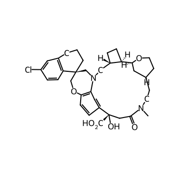 CN1CC[C@H]2CCO[C@@H](C2)[C@@H]2CC[C@H]2CN2C[C@@]3(CCCc4cc(Cl)ccc43)COc3ccc(cc32)[C@](O)(C(=O)O)CC1=O